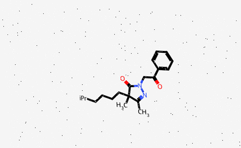 CC1=NN(CC(=O)c2ccccc2)C(=O)C1(C)CCCCC(C)C